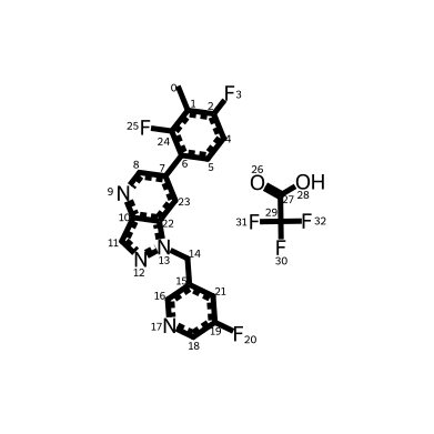 Cc1c(F)ccc(-c2cnc3cnn(Cc4cncc(F)c4)c3c2)c1F.O=C(O)C(F)(F)F